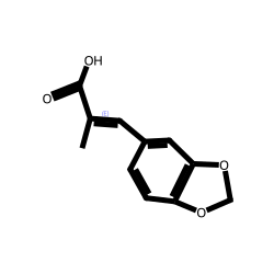 C/C(=C\c1ccc2c(c1)OCO2)C(=O)O